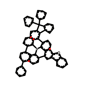 c1ccc(-c2ccc(-c3ccccc3N(c3ccccc3-c3ccc4oc5ccccc5c4c3)c3ccccc3-c3cccc4c3-c3ccccc3C4(c3ccccc3)c3ccccc3)cc2)cc1